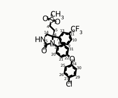 CS(=O)(=O)CC[C@]1(c2cccc(C(F)(F)F)c2)CNC(=O)N1c1ccc(Oc2ccc(Cl)cc2)cc1